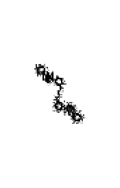 C(=C\Cc1cccc(-c2ccn(-c3ccccc3)n2)c1)/Cc1cccc(-c2ccn(-c3ccccc3)n2)c1